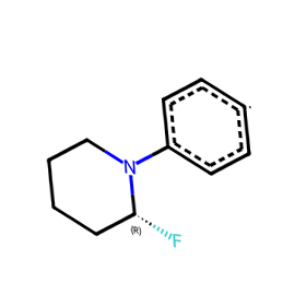 F[C@@H]1CCCCN1c1cc[c]cc1